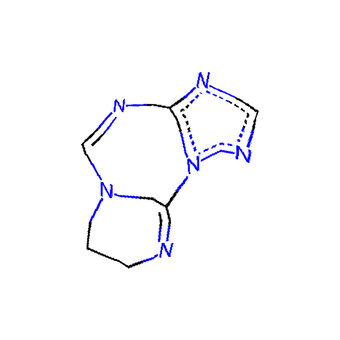 C1=Nc2ncnn2C2=NCCN12